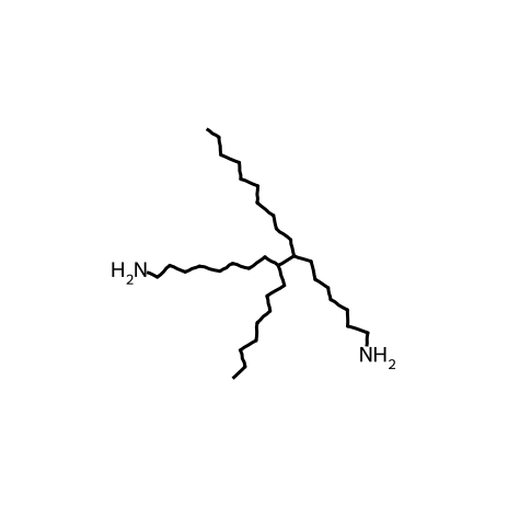 CCCCCCCCCCC(CCCCCCCN)C(CCCCCCCC)CCCCCCCCN